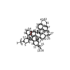 CC(C)(C)c1ccc(N2c3ccc(S(C)(C)C)cc3B3c4ccc(C(C)(C)C)cc4N(c4ccc5c6c(cccc46)CCC5)c4cccc2c43)c(-c2ccccc2)c1